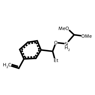 C=Cc1cccc(C(CC)O[SiH2]C(OC)OC)c1